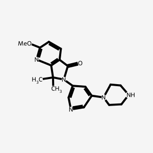 COc1ccc2c(n1)C(C)(C)N(c1cncc(N3CCNCC3)c1)C2=O